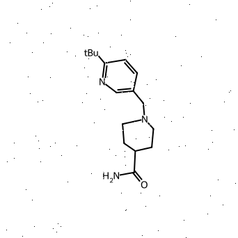 CC(C)(C)c1ccc(CN2CCC(C(N)=O)CC2)cn1